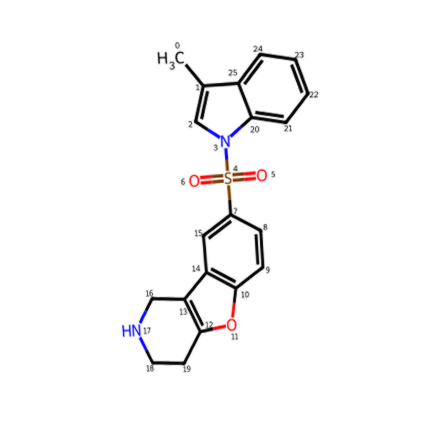 Cc1cn(S(=O)(=O)c2ccc3oc4c(c3c2)CNCC4)c2ccccc12